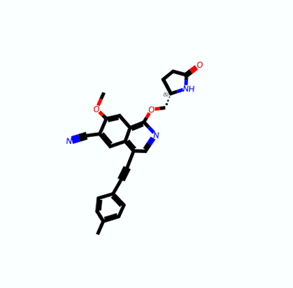 COc1cc2c(OC[C@@H]3CCC(=O)N3)ncc(C#Cc3ccc(C)cc3)c2cc1C#N